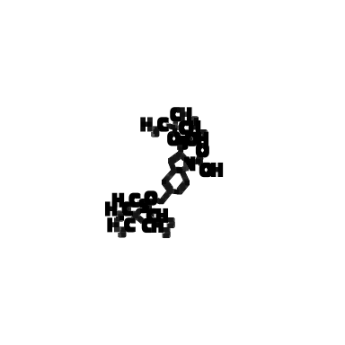 CC(C)(C)OB(O)c1cc2cc(CO[Si](C)(C)C(C)(C)C)ccc2n1C(=O)O